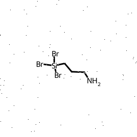 NCCC[Si](Br)(Br)Br